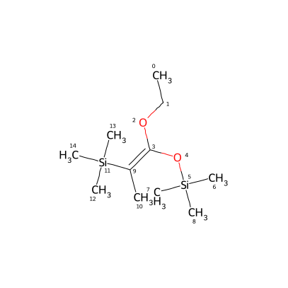 CCOC(O[Si](C)(C)C)=C(C)[Si](C)(C)C